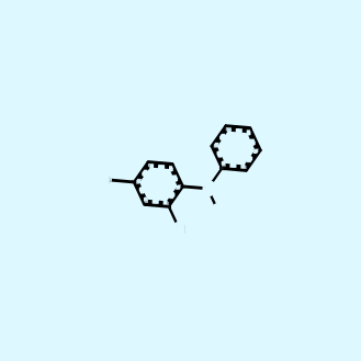 [O-][S+](c1ccccc1)c1ccc(Cl)cc1Cl